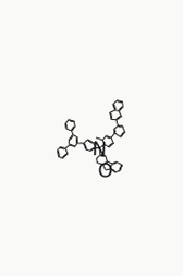 CC1C=C(c2cccc(-c3ccc4ccccc4c3)c2)C=CC1N(C1=Cc2c(oc3ccccc23)CC1)c1ccc(-c2cc(-c3ccccc3)cc(-c3ccccc3)c2)cc1